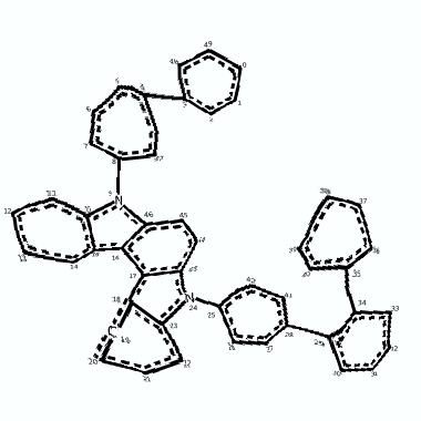 c1ccc(-c2cccc(-n3c4ccccc4c4c5c6ccccc6n(-c6ccc(-c7ccccc7-c7ccccc7)cc6)c5ccc43)c2)cc1